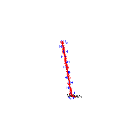 COc1ccc(C(N)c2ccc(OCC(=O)NCCOCCOCC(=O)NCCOCCOCC(=O)NCCOCCOCC(=O)NCCOCCOCC(=O)NCCOCCOCC(=O)NCCOCCOCC(=O)NCCOCCOCC(=O)NCCOCCOCC(=O)NCCOCCOCC(=O)NCCOCCOCC(N)=O)cc2)c(OC)c1